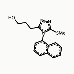 CSc1nnc(CCCO)n1-c1cccc2ccccc12